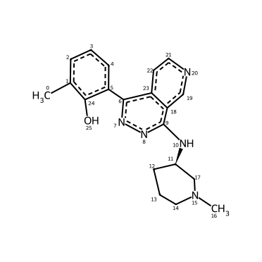 Cc1cccc(-c2nnc(N[C@@H]3CCCN(C)C3)c3cnccc23)c1O